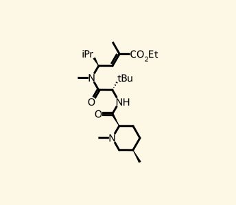 CCOC(=O)/C(C)=C/[C@H](C(C)C)N(C)C(=O)[C@@H](NC(=O)[C@H]1CC[C@@H](C)CN1C)C(C)(C)C